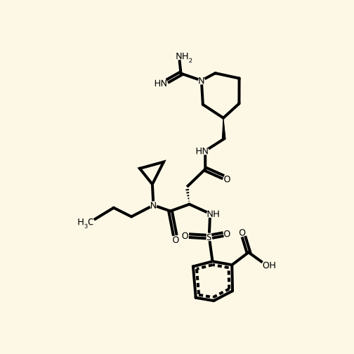 CCCN(C(=O)[C@H](CC(=O)NC[C@@H]1CCCN(C(=N)N)C1)NS(=O)(=O)c1ccccc1C(=O)O)C1CC1